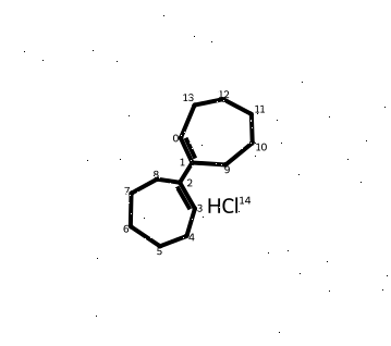 C1=C(C2=CCCCCC2)CCCCC1.Cl